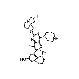 CCc1cccc2cc(O)cc(-c3ncc4c(N5CCCNCC5)nc(OC[C@@]56CCCN5C[C@H](F)C6)nc4c3F)c12